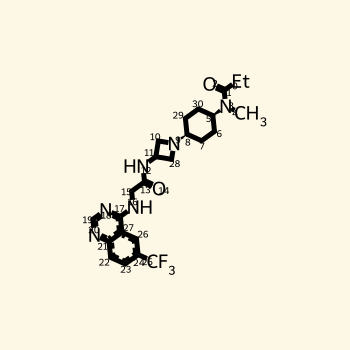 CCC(=O)N(C)[C@H]1CC[C@H](N2CC(NC(=O)CNc3ncnc4ccc(C(F)(F)F)cc34)C2)CC1